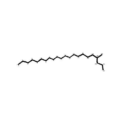 [CH2]CCCCCCCCCCCCCCCCCC(C)CC[CH2]